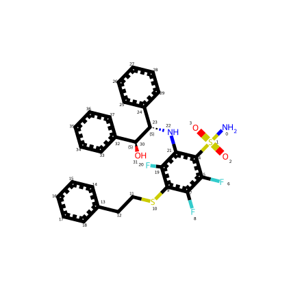 NS(=O)(=O)c1c(F)c(F)c(SCCc2ccccc2)c(F)c1N[C@@H](c1ccccc1)[C@@H](O)c1ccccc1